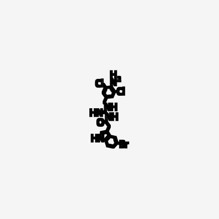 N=C(NCc1cc(Cl)c(N)c(Cl)c1)NC(=O)Cc1c[nH]c2ccc(Br)cc12